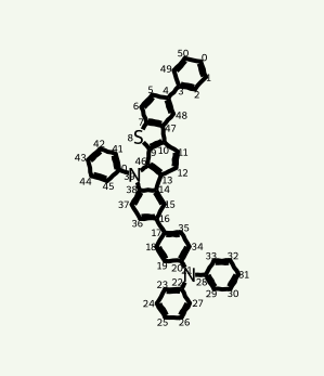 c1ccc(-c2ccc3sc4c(ccc5c6cc(-c7ccc(N(c8ccccc8)c8ccccc8)cc7)ccc6n(-c6ccccc6)c54)c3c2)cc1